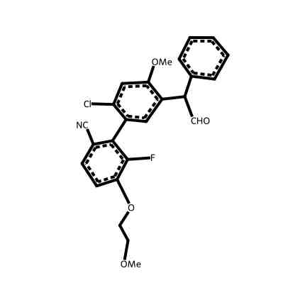 COCCOc1ccc(C#N)c(-c2cc(C(C=O)c3ccccc3)c(OC)cc2Cl)c1F